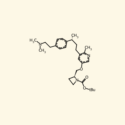 Cc1ncc(OC[C@@H]2CCN2C(=O)OC(C)(C)C)cc1CC[C@@H](C)c1ccc(CCN(C)C)cc1